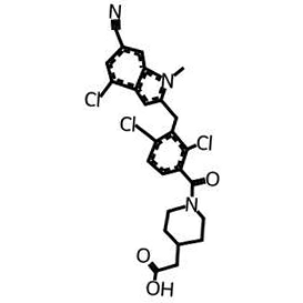 Cn1c(Cc2c(Cl)ccc(C(=O)N3CCC(CC(=O)O)CC3)c2Cl)cc2c(Cl)cc(C#N)cc21